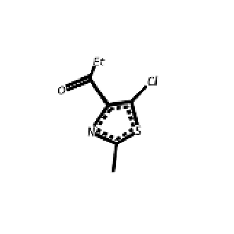 CCC(=O)c1nc(C)sc1Cl